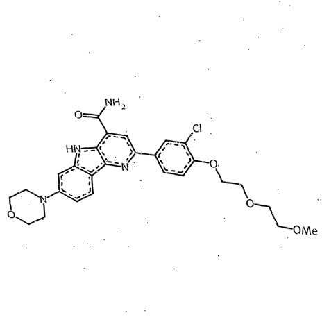 COCCOCCOc1ccc(-c2cc(C(N)=O)c3[nH]c4cc(N5CCOCC5)ccc4c3n2)cc1Cl